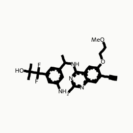 C#Cc1cc2nc(C)nc(NC(C)c3cc(N)cc(C(F)(F)C(C)(C)O)c3)c2cc1OCCOC